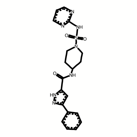 O=C(NC1CCN(S(=O)(=O)Nc2ncccn2)CC1)c1cc(-c2ccccc2)n[nH]1